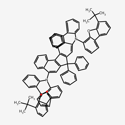 CC(C)(C)c1cccc2c1oc1c(N(c3ccccc3-c3ccccc3)c3cc4c(c5ccccc35)-c3c(cc(N(c5ccccc5-c5ccccc5)c5cccc6c5oc5c(C(C)(C)C)cccc56)c5ccccc35)C4(c3ccccc3)c3ccccc3)cccc12